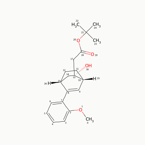 COc1ccccc1C1=C[C@H]2CC[C@@H]1C[C@@]2(O)CC(=O)OC(C)(C)C